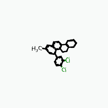 Cc1cc(-c2ccc(Cl)c(Cl)c2)c2c3c(ccc2c1)C1=C(CCC=C1)CC3